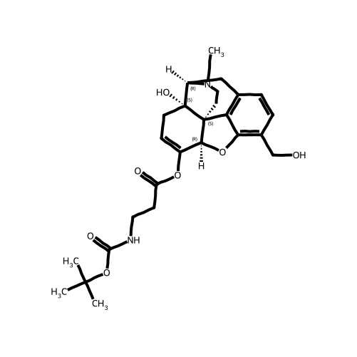 CN1CC[C@]23c4c5ccc(CO)c4O[C@H]2C(OC(=O)CCNC(=O)OC(C)(C)C)=CC[C@@]3(O)[C@H]1C5